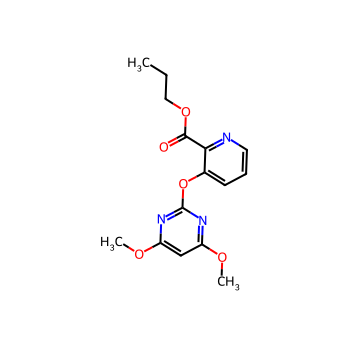 CCCOC(=O)c1ncccc1Oc1nc(OC)cc(OC)n1